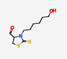 O=CC1CSC(=S)N1CCCCCCO